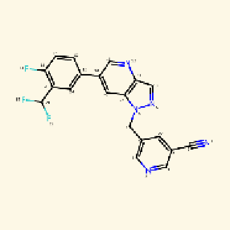 N#Cc1cncc(Cn2ncc3ncc(-c4ccc(F)c(C(F)F)c4)cc32)c1